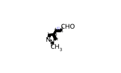 Cn1cc(/C=C/C=O)cn1